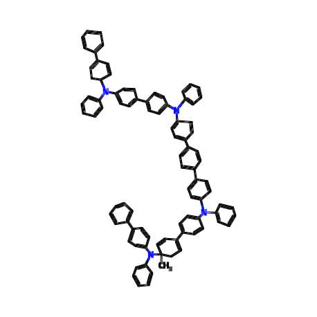 CC1(N(c2ccccc2)c2ccc(-c3ccccc3)cc2)C=CC(c2ccc(N(c3ccccc3)c3ccc(-c4ccc(-c5ccc(N(c6ccccc6)c6ccc(-c7ccc(N(c8ccccc8)C8C=CC(c9ccccc9)=CC8)cc7)cc6)cc5)cc4)cc3)cc2)=CC1